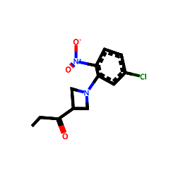 CCC(=O)C1CN(c2cc(Cl)ccc2[N+](=O)[O-])C1